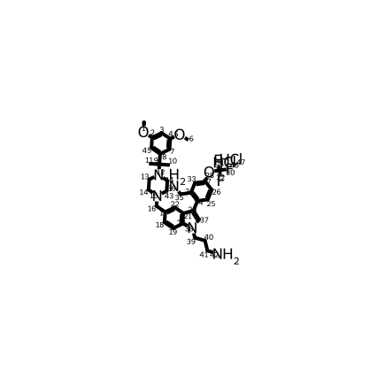 COc1cc(OC)cc(C(C)(C)N2CCN(Cc3ccc4c(c3)c(-c3ccc(OC(F)(F)F)cc3CN)cn4CCCN)CC2)c1.Cl.Cl